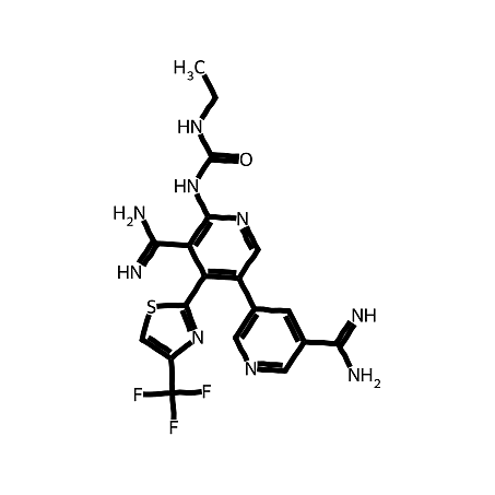 CCNC(=O)Nc1ncc(-c2cncc(C(=N)N)c2)c(-c2nc(C(F)(F)F)cs2)c1C(=N)N